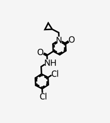 O=C(NCc1ccc(Cl)cc1Cl)c1ccc(=O)n(CC2CC2)c1